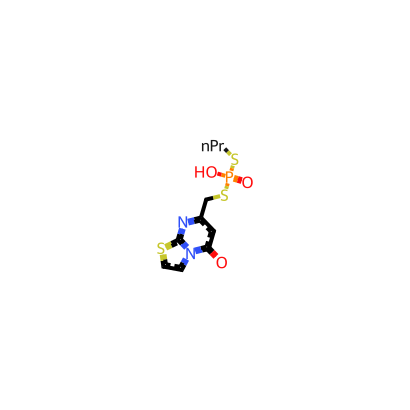 CCCSP(=O)(O)SCc1cc(=O)n2ccsc2n1